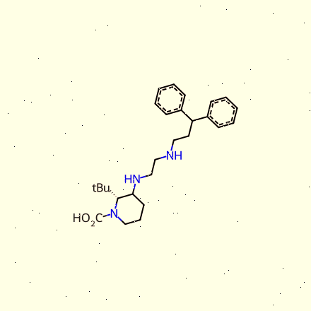 CC(C)(C)[C@@H]1C(NCCNCCC(c2ccccc2)c2ccccc2)CCCN1C(=O)O